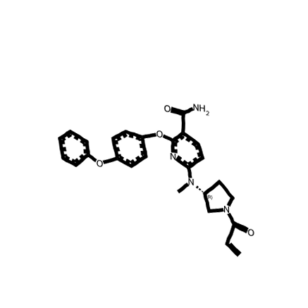 C=CC(=O)N1CC[C@@H](N(C)c2ccc(C(N)=O)c(Oc3ccc(Oc4ccccc4)cc3)n2)C1